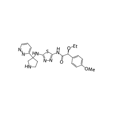 CCO[C@H](C(=O)Nc1nnc(NC2(c3cccnn3)CCNC2)s1)c1ccc(OC)cc1